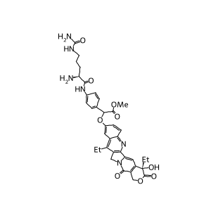 CCc1c2c(nc3ccc(OC(C(=O)OC)c4ccc(NC(=O)[C@@H](N)CCCNC(N)=O)cc4)cc13)-c1cc3c(c(=O)n1C2)COC(=O)[C@]3(O)CC